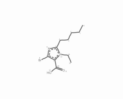 CCCCCc1nc(Br)c(C(=O)O)n1CC